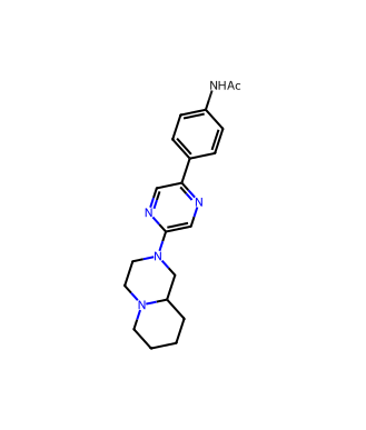 CC(=O)Nc1ccc(-c2cnc(N3CCN4CCCCC4C3)cn2)cc1